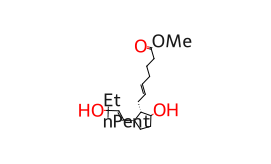 CCCCCC(O)(C=C[C@@H]1CCC(O)[C@H]1CC=CCCCC(=O)OC)CC